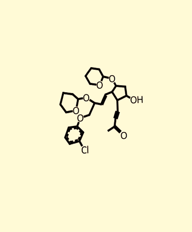 CC(=O)C#CC1C(O)CC(OC2CCCCO2)C1C=CC(COc1cccc(Cl)c1)OC1CCCCO1